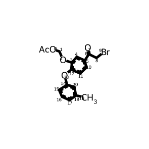 CC(=O)OCOc1cc(C(=O)CBr)ccc1Oc1cccc(C)c1